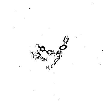 CCOCCOc1nn(C2CCC(N3CCOCC3)CC2)cc1Nc1ncc(-c2ccc(Cl)c(OC(C)CN(N)C=N)c2)cn1